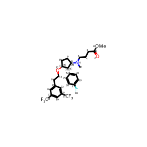 COC(=O)CCCN(C)[C@@H]1CC[C@H](OCCc2cc(C(F)(F)F)cc(C(F)(F)F)c2)[C@H]1c1ccc(F)cc1